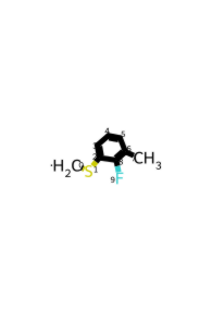 [CH2]Sc1cccc(C)c1F